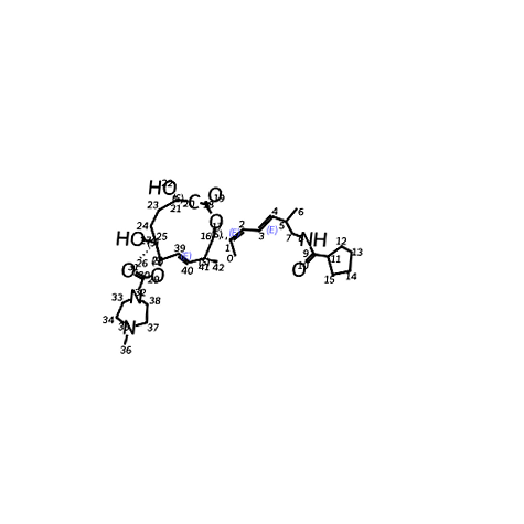 C/C(=C\C=C\C(C)CNC(=O)C1CCCC1)[C@H]1OC(=O)C[C@@H](O)CC[C@](C)(O)[C@@H](OC(=O)N2CCN(C)CC2)/C=C/[C@@H]1C